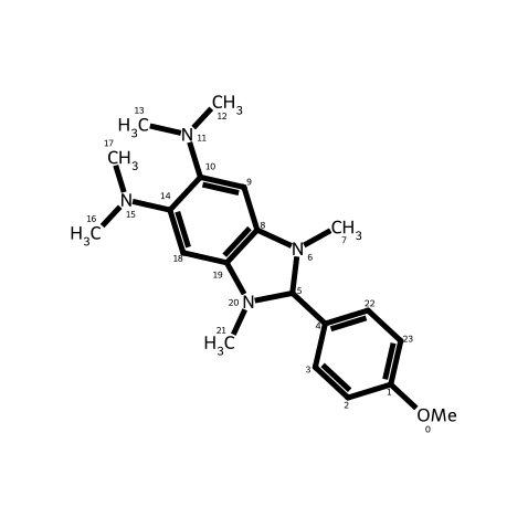 COc1ccc(C2N(C)c3cc(N(C)C)c(N(C)C)cc3N2C)cc1